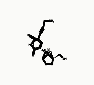 NCC#Cc1cn([C@@H]2O[C@@]3(CO)COC2[C@H]3O)c(=O)[nH]c1=O